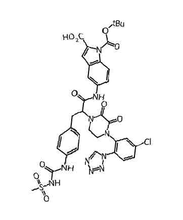 CC(C)(C)OC(=O)n1c(C(=O)O)cc2cc(NC(=O)C(Cc3ccc(NC(=O)NS(C)(=O)=O)cc3)N3CCN(c4cc(Cl)ccc4-n4cnnn4)C(=O)C3=O)ccc21